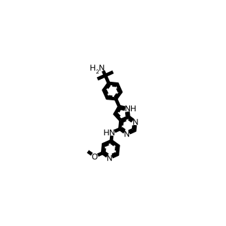 COc1cc(Nc2ncnc3[nH]c(-c4ccc(C(C)(C)N)cc4)cc23)ccn1